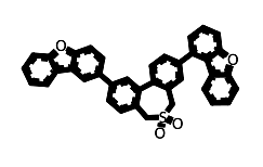 O=S1(=O)Cc2cc(-c3cccc4oc5ccccc5c34)ccc2-c2cc(-c3ccc4oc5ccccc5c4c3)ccc2C1